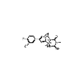 CN1C(=N)N[C@](C)(c2cc(-c3ccc(F)c(Cl)c3)cs2)[C@@H](C2CC2)C1=O